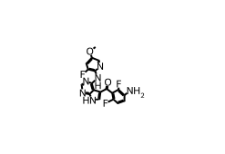 COc1cnc(Nc2ncnc3[nH]cc(C(=O)c4c(F)ccc(N)c4F)c23)c(F)c1